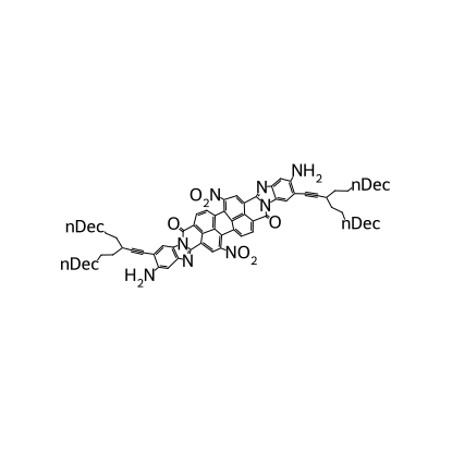 CCCCCCCCCCCCC(C#Cc1cc2c(cc1N)nc1c3cc([N+](=O)[O-])c4c5ccc6c(=O)n7c8cc(C#CC(CCCCCCCCCCCC)CCCCCCCCCCCC)c(N)cc8nc7c7cc([N+](=O)[O-])c(c8ccc(c(=O)n21)c3c84)c5c67)CCCCCCCCCCCC